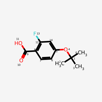 CC(C)(C)Oc1ccc(C(=O)O)c(F)c1